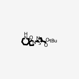 CC(C)(C)OC(=O)c1cnc(N2CCC3(CCCCNC3=O)C2)s1